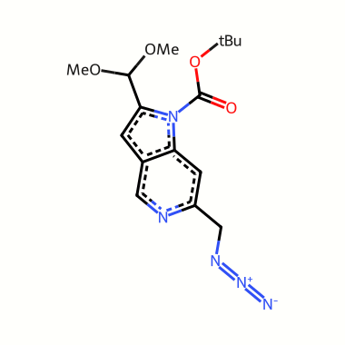 COC(OC)c1cc2cnc(CN=[N+]=[N-])cc2n1C(=O)OC(C)(C)C